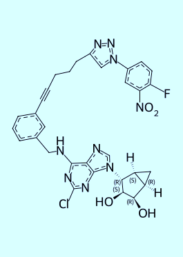 O=[N+]([O-])c1cc(-n2cc(CCCC#Cc3cccc(CNc4nc(Cl)nc5c4ncn5[C@H]4[C@H](O)[C@H](O)[C@@H]5C[C@@H]54)c3)nn2)ccc1F